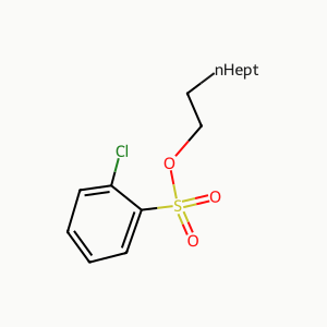 CCCCCCCCCOS(=O)(=O)c1ccccc1Cl